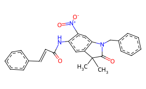 CC1(C)C(=O)N(Cc2ccccc2)c2cc([N+](=O)[O-])c(NC(=O)/C=C/c3ccccc3)cc21